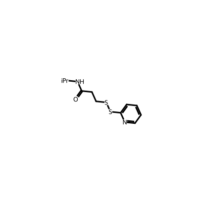 CC(C)NC(=O)CCSSc1ccccn1